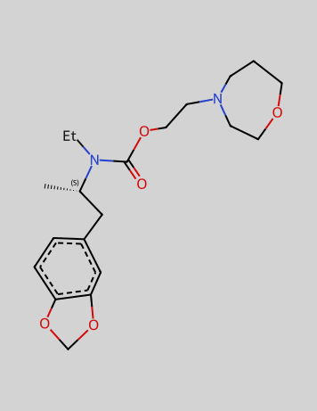 CCN(C(=O)OCCN1CCCOCC1)[C@@H](C)Cc1ccc2c(c1)OCO2